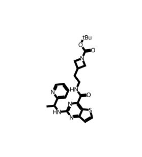 CC(Nc1nc(C(=O)NCCC2CN(C(=O)OC(C)(C)C)C2)c2sccc2n1)c1ccccn1